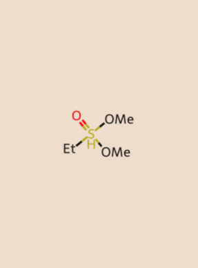 CC[SH](=O)(OC)OC